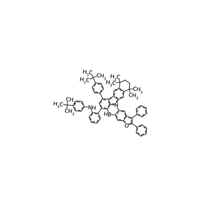 CC(C)(C)c1ccc(Nc2ccccc2-c2cc(-c3ccc(C(C)(C)C)cc3)c3c4cc5c(cc4n4c3c2Bc2cc3oc(-c6ccccc6)c(-c6ccccc6)c3cc2-4)C(C)(C)CCC5(C)C)cc1